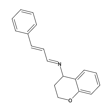 C(=Cc1ccccc1)C=NC1CCOc2ccccc21